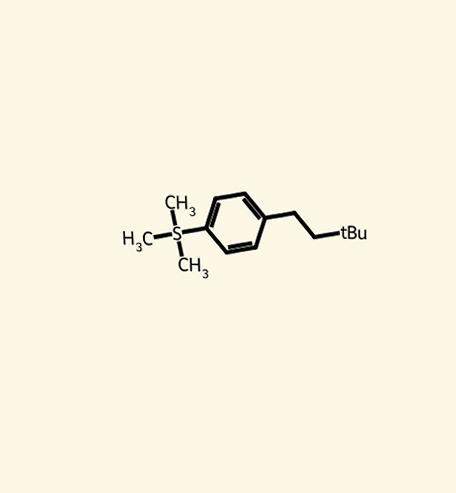 CC(C)(C)CCc1ccc(S(C)(C)C)cc1